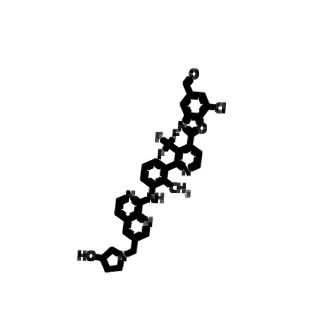 Cc1c(Nc2nccc3cc(CN4CCC(O)C4)cnc23)cccc1-c1nccc(-c2nc3cc(C=O)cc(Cl)c3o2)c1C(F)(F)F